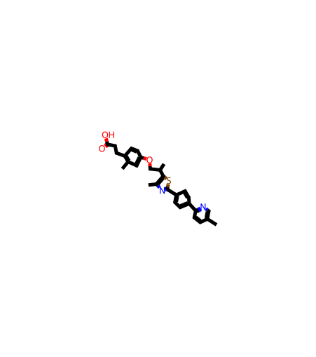 Cc1ccc(-c2ccc(-c3nc(C)c(C(C)COc4ccc(CCC(=O)O)c(C)c4)s3)cc2)nc1